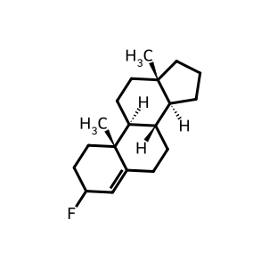 C[C@@]12CCC[C@H]1[C@@H]1CCC3=CC(F)CC[C@]3(C)[C@H]1CC2